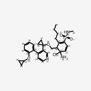 CCCCC1=C(S(=O)(=O)NC)C=CC(N)(Cl)C1COC1(c2cnccc2-c2ccccc2OC2CC2)CC1